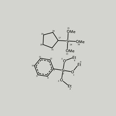 CCO[Si](OCC)(OCC)c1ccccc1.CO[Si](OC)(OC)C1CCCC1